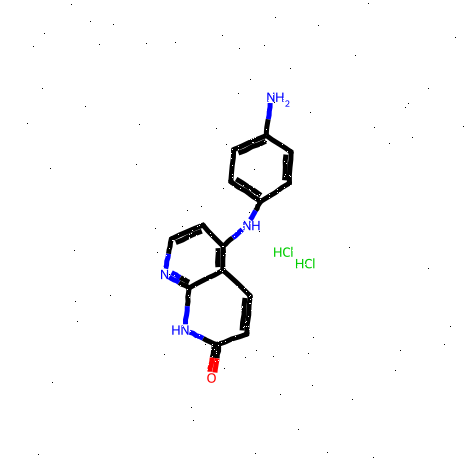 Cl.Cl.Nc1ccc(Nc2ccnc3[nH]c(=O)ccc23)cc1